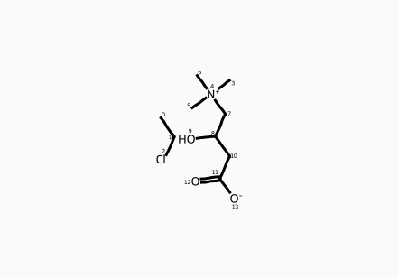 CCCl.C[N+](C)(C)CC(O)CC(=O)[O-]